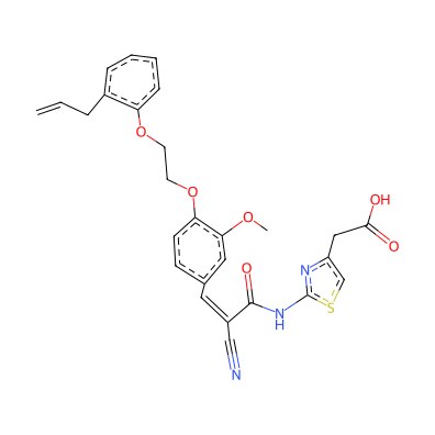 C=CCc1ccccc1OCCOc1ccc(/C=C(/C#N)C(=O)Nc2nc(CC(=O)O)cs2)cc1OC